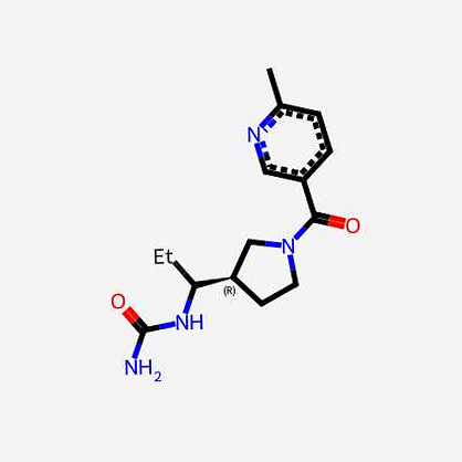 CCC(NC(N)=O)[C@@H]1CCN(C(=O)c2ccc(C)nc2)C1